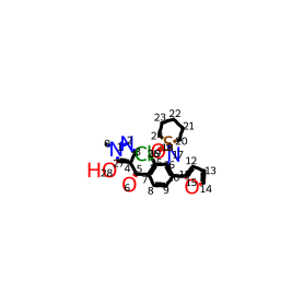 Cn1ncc(C(=O)c2ccc(-c3ccco3)c(N=S3(=O)CCCCC3)c2Cl)c1O